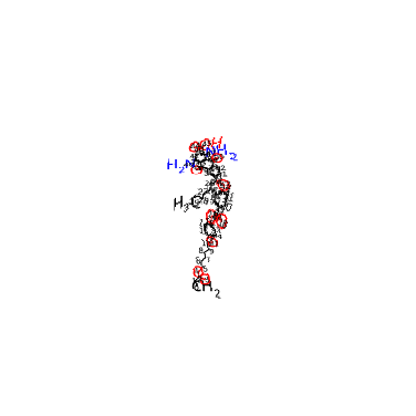 C=CC(=O)OCCCCCCOc1ccc(OC(=O)c2ccc(OC(CCCCC)c3ccc4c(c3)C(=O)c3c(N)cc(C(=O)O)c(N)c3C4=O)cc2)cc1